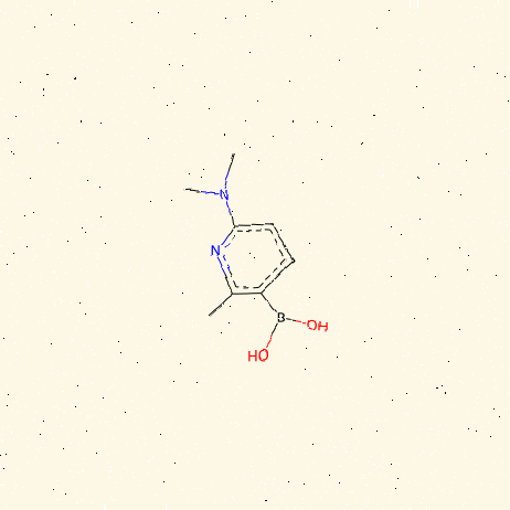 Cc1nc(N(C)C)ccc1B(O)O